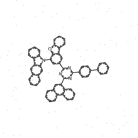 c1ccc(-c2ccc(-c3nc(-c4cc(-n5c6ccccc6c6cc7ccccc7cc65)c5oc6ccccc6c5c4)nc(-c4cc5ccccc5c5ccccc45)n3)cc2)cc1